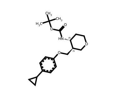 CC(C)(C)OC(=O)N[C@@H]1CCOC[C@H]1COc1ccc(C2CC2)cc1